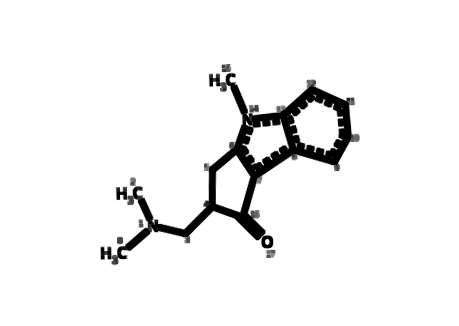 CN(C)CC1Cc2c(c3ccccc3n2C)C1=O